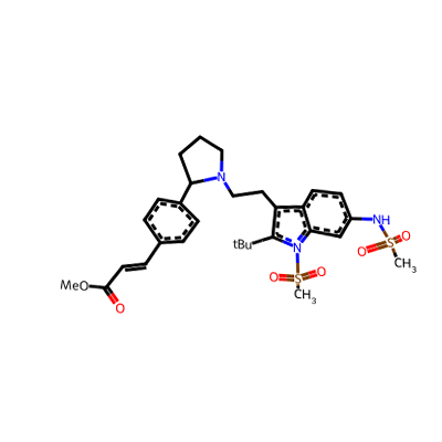 COC(=O)/C=C/c1ccc(C2CCCN2CCc2c(C(C)(C)C)n(S(C)(=O)=O)c3cc(NS(C)(=O)=O)ccc23)cc1